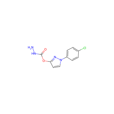 NNC(=O)Oc1ccn(-c2ccc(Cl)cc2)n1